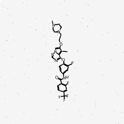 Cc1c(OCCN2CCN(C)CC2)cn2ncnc(Oc3ccc(NC(=O)c4ccc(C(F)(F)F)cc4F)cc3F)c12